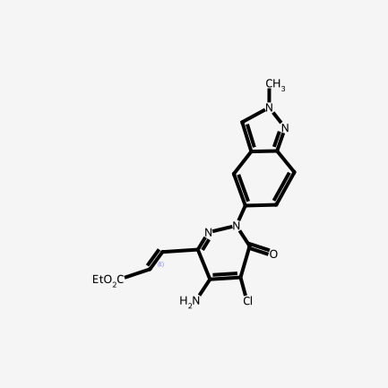 CCOC(=O)/C=C/c1nn(-c2ccc3nn(C)cc3c2)c(=O)c(Cl)c1N